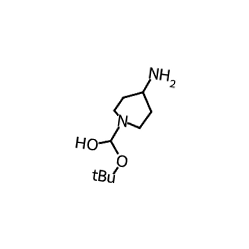 CC(C)(C)OC(O)N1CCC(N)CC1